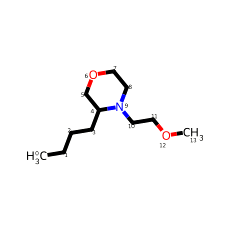 CCCCC1COCCN1CCOC